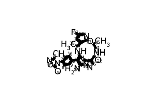 Cc1noc(=O)n1-c1ccc(-c2c3nc4c(cnn4c2N)C(=O)NC[C@H](C)Oc2ncc(F)cc2[C@@H](C)N3)cc1